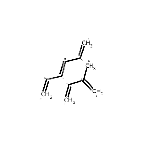 C=CC(=C)C.C=CC=CC=C